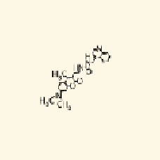 CCN(CC)c1ccc2c(C)c(CCNC(=O)NCc3ccnc4ccccc34)c(=O)oc2c1